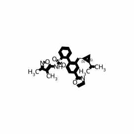 Cc1noc(NS(=O)(=O)c2ccccc2-c2ccc(-c3ncco3)cc2C[C@@H]2C[C@H]2C(C)C)c1C